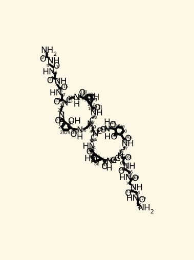 NCC(=O)NCC(=O)NCC(=O)NCC(=O)NCC(=O)N1CCNC(=O)c2cccc(c2O)C(=O)NCCN(CCN2CCNC(=O)c3cccc(c3O)C(=O)NCCN(C(=O)CNC(=O)CNC(=O)CNC(=O)CNC(=O)CN)CCNC(=O)c3cccc(c3O)C(=O)NCC2)CCNC(=O)c2cccc(c2O)C(=O)NCC1